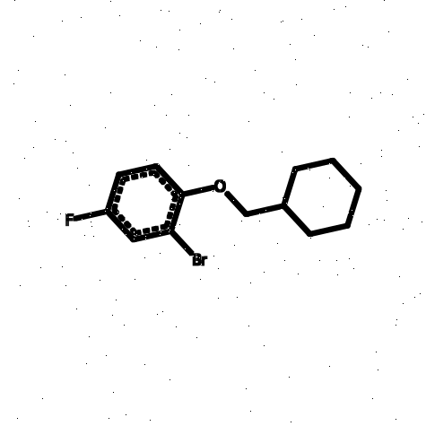 Fc1ccc(OCC2CCCCC2)c(Br)c1